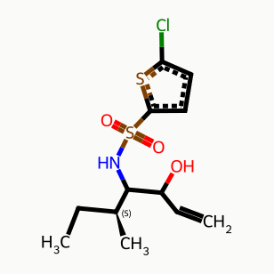 C=CC(O)C(NS(=O)(=O)c1ccc(Cl)s1)[C@@H](C)CC